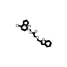 O=C(COCc1cc2ccccc2o1)OC[C@@H]1C=CC(Cl)=C2C=CC[C@H]21